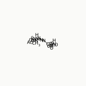 CC(=O)c1c(C)c2cnc(Nc3ccc(N4CCN(CCCCOc5cccc6c5C(=O)N(C5CCC(=O)NC5=O)C6=O)CC4)cn3)nc2n(C2CCCC2)c1=O